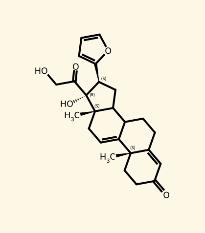 C[C@]12CCC(=O)C=C1CCC1C2=CC[C@@]2(C)C1C[C@H](c1ccco1)[C@]2(O)C(=O)CO